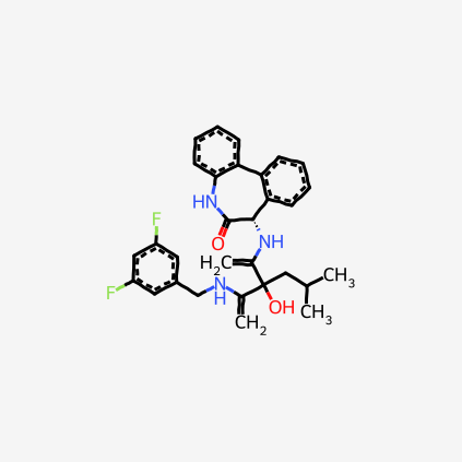 C=C(NCc1cc(F)cc(F)c1)C(O)(CC(C)C)C(=C)N[C@@H]1C(=O)Nc2ccccc2-c2ccccc21